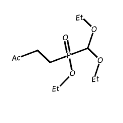 CCOC(OCC)P(=O)(CCC(C)=O)OCC